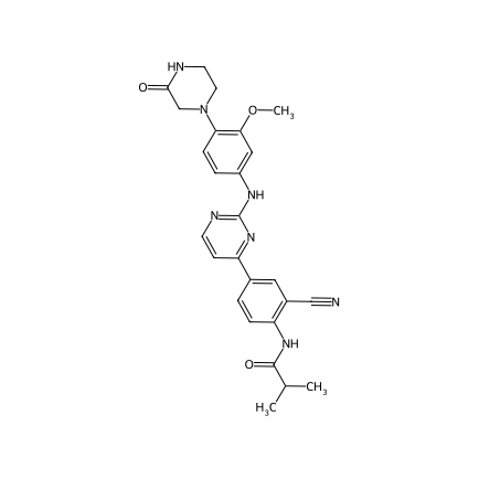 COc1cc(Nc2nccc(-c3ccc(NC(=O)C(C)C)c(C#N)c3)n2)ccc1N1CCNC(=O)C1